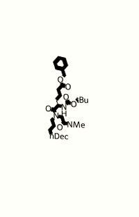 CCCCCCCCCCCCCN(CC(=O)NC)C(=O)[C@H](CCCC(=O)OCc1ccccc1)NC(=O)OC(C)(C)C